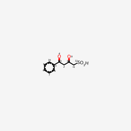 O=C(CC(=O)c1ccccc1)CS(=O)(=O)O